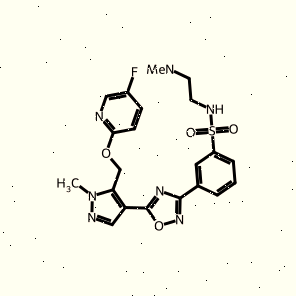 CNCCNS(=O)(=O)c1cccc(-c2noc(-c3cnn(C)c3COc3ccc(F)cn3)n2)c1